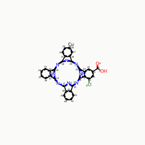 O=C(O)c1cc(Cl)c2c3nc4nc(nc5[nH]c(nc6nc(nc([nH]3)c2c1)-c1ccccc1-6)c1ccccc51)-c1ccccc1-4.[Cu]